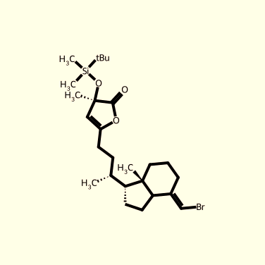 C[C@H](CCC1=C[C@@](C)(O[Si](C)(C)C(C)(C)C)C(=O)O1)[C@H]1CCC2C(=CBr)CCC[C@]21C